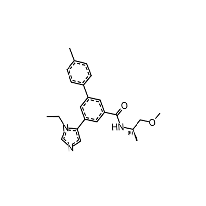 CCn1cncc1-c1cc(C(=O)N[C@H](C)COC)cc(-c2ccc(C)cc2)c1